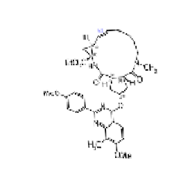 CCOC(=O)[C@@]12C[C@H]1/C=C\CCCCN(C)C(=O)[C@@H]1C[C@H](Oc3nc(-c4ccc(OC)cc4)nc4c(C)c(OC)ccc34)C[C@H]1C(=O)N2